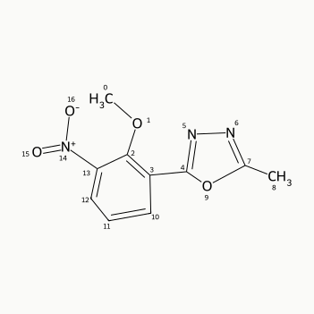 COc1c(-c2nnc(C)o2)cccc1[N+](=O)[O-]